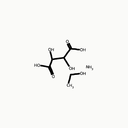 CCO.N.O=C(O)C(O)C(O)C(=O)O